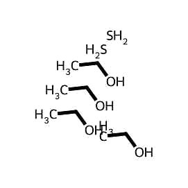 CCO.CCO.CCO.CCO.S.S